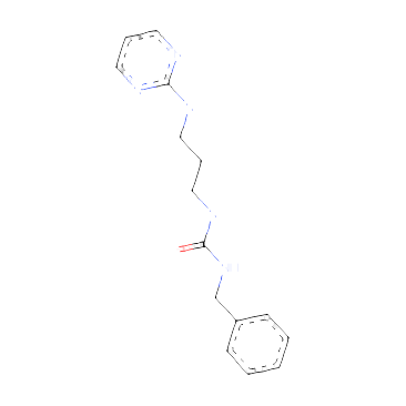 O=C(NCCCNc1ncccn1)NCc1ccccc1